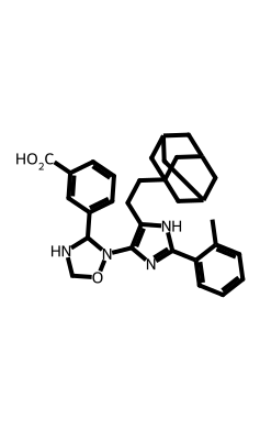 Cc1ccccc1-c1nc(N2OCNC2c2cccc(C(=O)O)c2)c(CCC23CC4CC(CC(C4)C2)C3)[nH]1